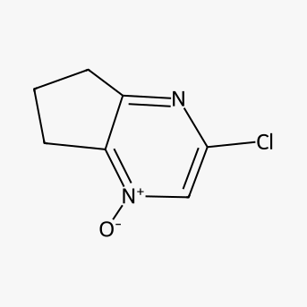 [O-][n+]1cc(Cl)nc2c1CCC2